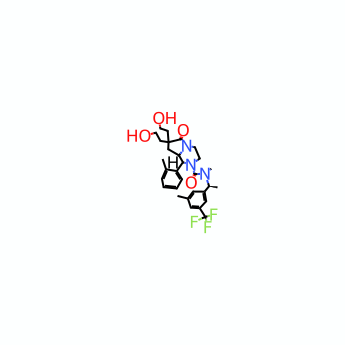 Cc1cc([C@H](C)N(C)C(=O)N2CCN3C(=O)C(CCO)(CCO)C[C@H]3C2c2ccccc2C)cc(C(F)(F)F)c1